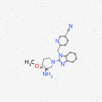 CO[C@@H]1CCN(c2nc3ccccc3n2Cc2ccc(C#N)cn2)C[C@H]1N